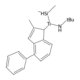 CC1=Cc2c(-c3ccccc3)cccc2[CH]1[Ti]([NH]C(C)(C)C)[SiH](C)C